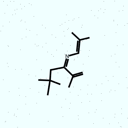 C=C(C)/C(CC(C)(C)C)=N\C=C(C)C